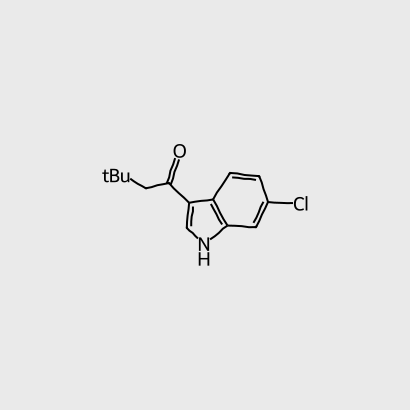 CC(C)(C)CC(=O)c1c[nH]c2cc(Cl)ccc12